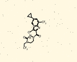 O=C1NN(C(=O)c2nc3c(C(F)(F)F)cc(C4CC4)cn3c2Cl)CCN1CC(F)(F)F